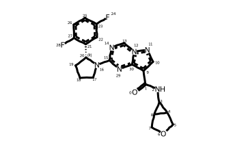 O=C(NC1C2COCC21)c1cnn2cnc(N3CCC[C@@H]3c3cc(F)ccc3F)nc12